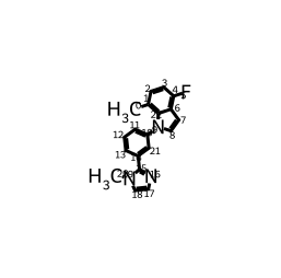 Cc1ccc(F)c2ccn(-c3cccc(-c4nccn4C)c3)c12